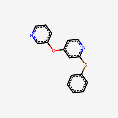 [c]1c(Oc2cccnc2)ccnc1Sc1ccccc1